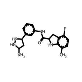 Cc1ccc(F)c2c1NC(C(=O)Nc1cccc(C3CC(N)NN3)c1)C2